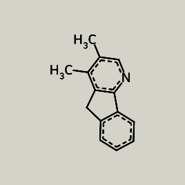 Cc1cnc2c(c1C)Cc1ccccc1-2